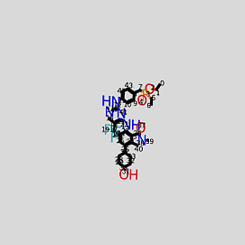 CCOP(=O)(CC)Cc1ccc(Nc2ncc(C(F)(F)F)c(Nc3ccc(C4CCC(O)CC4)c4c3C(=O)N(C)C4)n2)cc1